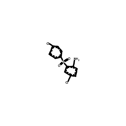 Nc1ccc(Cl)cc1S(=O)(=O)c1ccc(Cl)cc1